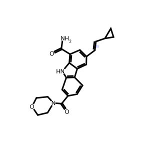 NC(=O)c1cc(/C=C/C2CC2)cc2c1[nH]c1cc(C(=O)N3CCOCC3)ccc12